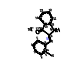 C[n+]1ccccc1/C=C1/Nc2ccccc2C1=O.[I-]